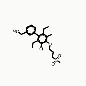 CCc1c(C)c(OCCCS(C)(=O)=O)c(Cl)c(CC)c1-c1cccc(CO)c1